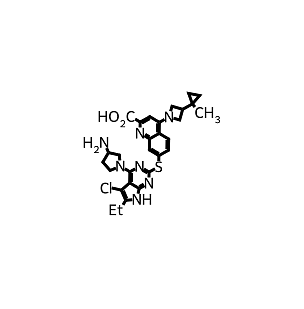 CCc1[nH]c2nc(Sc3ccc4c(N5CC(C6(C)CC6)C5)cc(C(=O)O)nc4c3)nc(N3CCC(N)C3)c2c1Cl